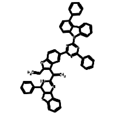 C=Cc1oc2ccc(-c3nc(-c4ccccc4)nc(-n4c5ccccc5c5c(-c6ccccc6)cccc54)n3)cc2c1C(=C)C1=Nc2c(sc3ccccc23)C(c2ccccc2)N1